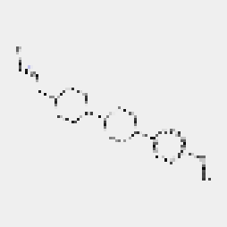 CCOc1ccc(C2CCC(C3CCC(C/C=C/F)CC3)CC2)cc1